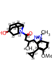 COc1ccc2c(c(C(C)CC(=O)N3C4CC5CC3CC(O)(C5)C4)nn2C)c1C1CC1